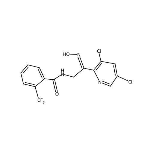 O=C(NC/C(=N\O)c1ncc(Cl)cc1Cl)c1ccccc1C(F)(F)F